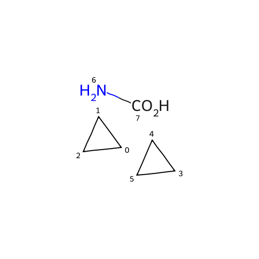 C1CC1.C1CC1.NC(=O)O